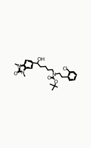 Cn1c(=O)n(C)c2cc(C(O)CCCCN(CCc3ccccc3Cl)C(=O)OC(C)(C)C)ccc21